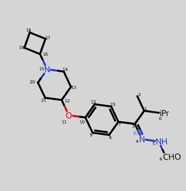 CC(C)C(C)/C(=N\NC=O)c1ccc(OC2CCN(C3CCC3)CC2)cc1